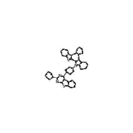 c1ccc(-c2nc(-c3ccc(-n4c5ccccc5c5c6ccccc6c6c7ccccc7sc6c54)cc3)c3c(n2)sc2ccccc23)cc1